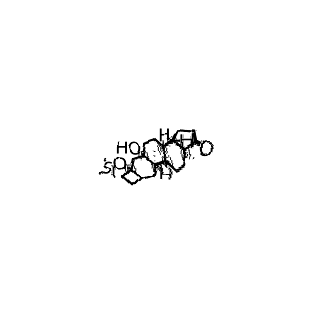 C[C@]12CC[C@H]3[C@@H](CC[C@]4(O)C[C@]5(O[Si](C)(C)C)CCC5C[C@]34C)[C@@H]1CCC2=O